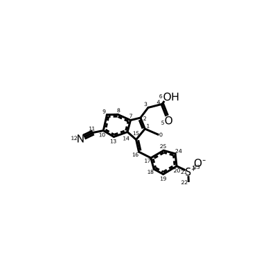 CC1=C(CC(=O)O)c2ccc(C#N)cc2C1=Cc1ccc([S+](C)[O-])cc1